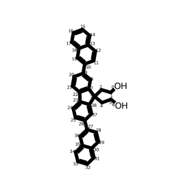 OCCC1(CCO)c2cc(-c3ccc4ccccc4c3)ccc2-c2ccc(-c3ccc4ccccc4c3)cc21